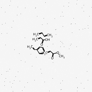 C=CC(=O)O.C=CC(=O)OC.C=CC=C.C=Cc1ccccc1